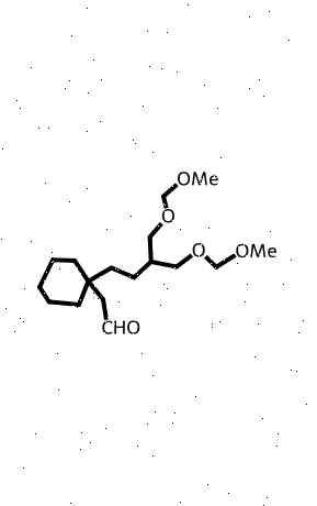 COCOCC(CCC1(CC=O)CCCCC1)COCOC